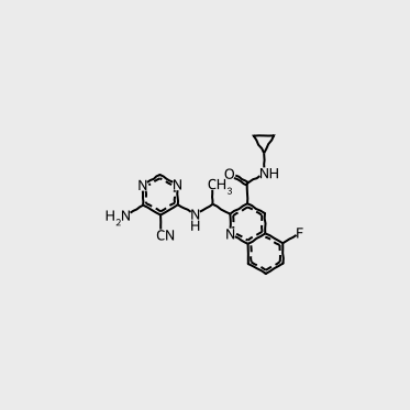 CC(Nc1ncnc(N)c1C#N)c1nc2cccc(F)c2cc1C(=O)NC1CC1